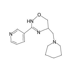 c1cncc(C2=NC(CN3CCCCC3)CON2)c1